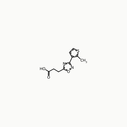 Cc1sccc1-c1noc(CCC(=O)O)n1